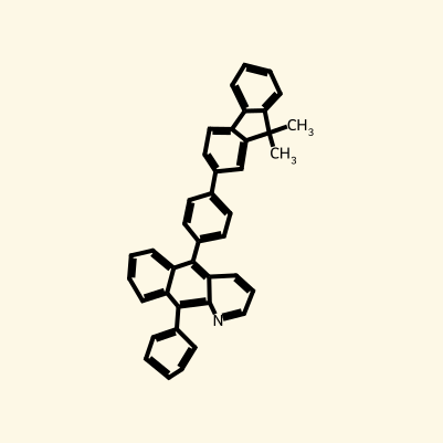 CC1(C)c2ccccc2-c2ccc(-c3ccc(-c4c5ccccc5c(-c5ccccc5)c5ncccc45)cc3)cc21